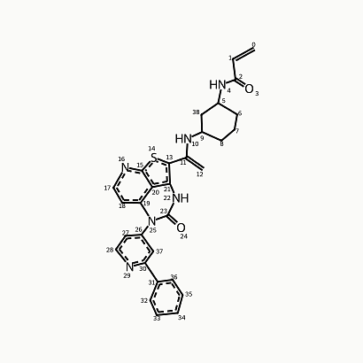 C=CC(=O)NC1CCCC(NC(=C)c2sc3nccc4c3c2NC(=O)N4c2ccnc(-c3ccccc3)c2)C1